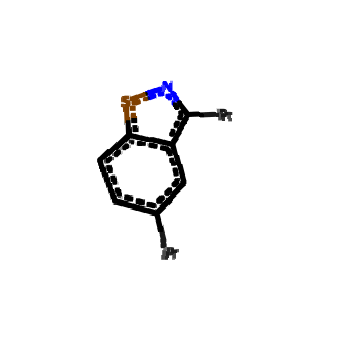 CC(C)c1ccc2snc(C(C)C)c2c1